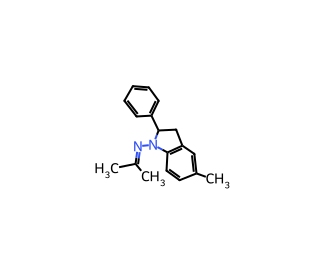 CC(C)=NN1c2ccc(C)cc2CC1c1ccccc1